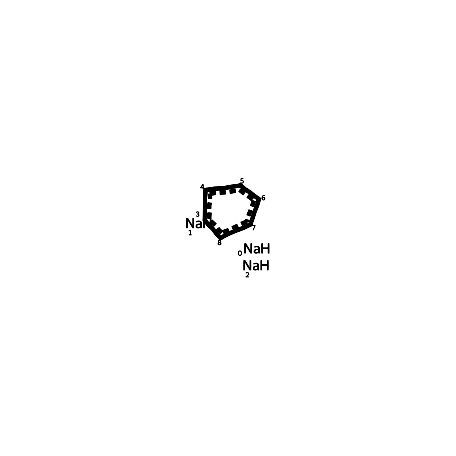 [NaH].[NaH].[NaH].[c]1ccccc1